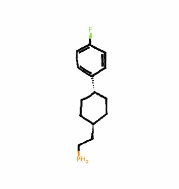 Fc1ccc([C@H]2CC[C@H](CCP)CC2)cc1